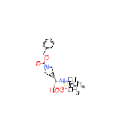 CC(C)(C)[S+]([O-])NC(CO)C1C2CN(C(=O)OCc3ccccc3)CC21